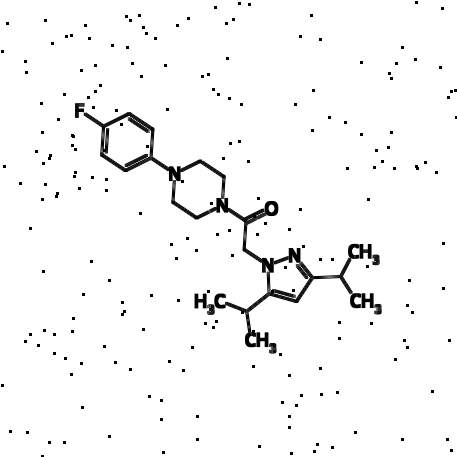 CC(C)c1cc(C(C)C)n(CC(=O)N2CCN(c3ccc(F)cc3)CC2)n1